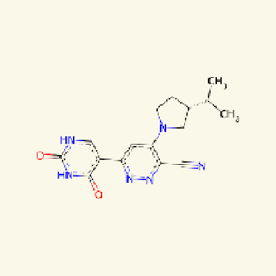 CC(C)[C@H]1CCN(c2cc(-c3c[nH]c(=O)[nH]c3=O)nnc2C#N)C1